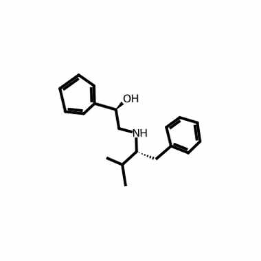 CC(C)[C@@H](Cc1ccccc1)NC[C@H](O)c1ccccc1